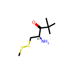 CSSC[C@H](N)C(=O)C(C)(C)C